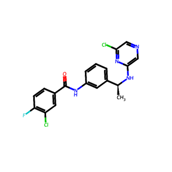 C[C@H](Nc1cncc(Cl)n1)c1cccc(NC(=O)c2ccc(F)c(Cl)c2)c1